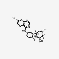 CC1(C)C(=N)N[C@](C)(c2cc(Nc3ncnc4cc(Br)cnc34)ccc2F)C[S@+]1[O-]